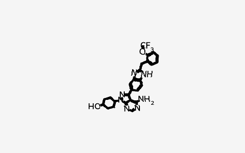 Nc1ncnc2c1c(-c1ccc3[nH]c(Cc4ccccc4OC(F)(F)F)nc3c1)nn2C1CCC(O)CC1